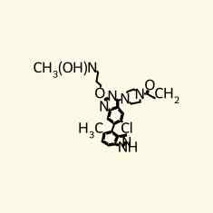 C=CC(=O)N1CCN(c2nc(OCCCN(C)O)nc3cc(-c4c(C)ccc5[nH]ncc45)c(Cl)cc23)CC1